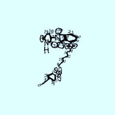 Cc1ccc(S(=O)(=O)OCCCCCCS(=O)(=O)c2cccc3c2C(=O)N(C2CCC(=O)NC2=O)C3=O)cc1